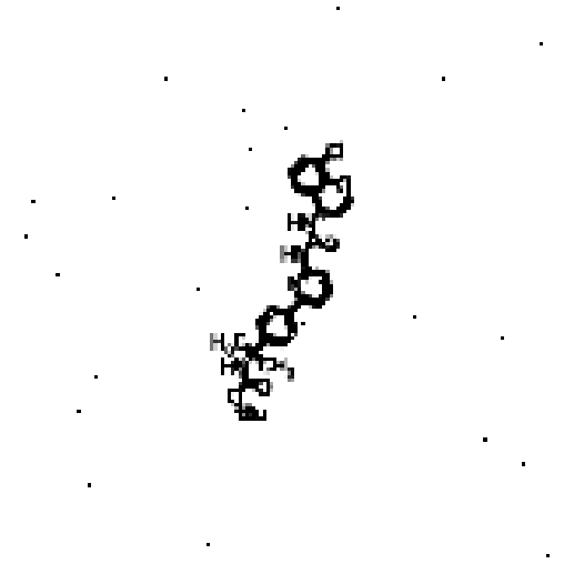 CC(C)(C)OC(=O)NC(C)(C)c1ccc(-c2cccc(NC(=O)N[C@H]3CCOc4c(Cl)cccc43)n2)cc1